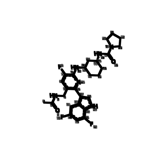 CC(=O)NCc1cc(F)c(N[C@@H]2CCC[C@@H](NC(=O)N3CCCC3)C2)nc1-c1c[nH]c2c(F)cc(F)cc12